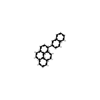 [c]1ccc2cc(-c3ccc4ccc5cccc6ccc3c4c56)ccc2c1